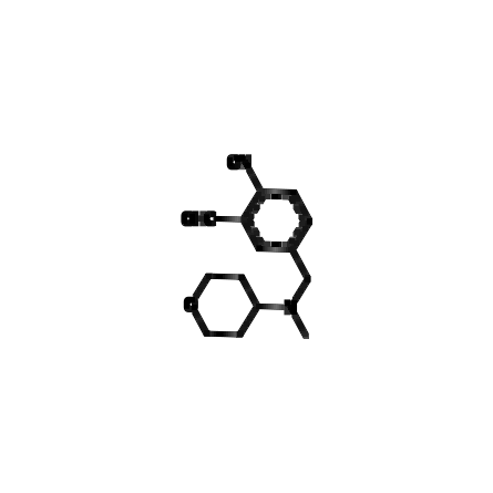 CN(Cc1ccc(N=O)c(C=O)c1)C1CCOCC1